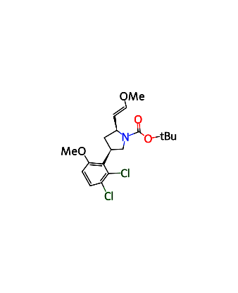 CO/C=C/[C@@H]1C[C@H](c2c(OC)ccc(Cl)c2Cl)CN1C(=O)OC(C)(C)C